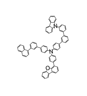 c1cc(-c2ccc(N(c3ccc(-c4cccc(-c5cccc6ccccc56)c4)cc3)c3ccc(-c4cccc5c4oc4ccccc45)cc3)cc2)cc(-c2cccc(-n3c4ccccc4c4ccccc43)c2)c1